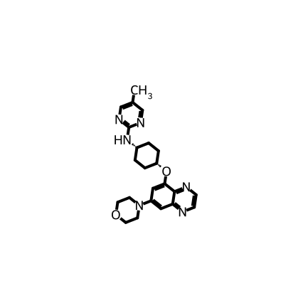 Cc1cnc(N[C@H]2CC[C@@H](Oc3cc(N4CCOCC4)cc4nccnc34)CC2)nc1